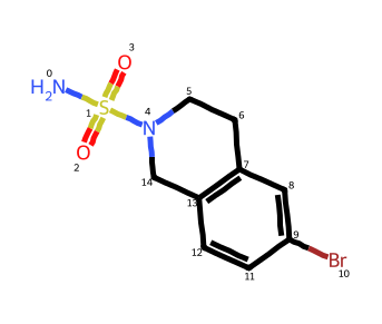 NS(=O)(=O)N1CCc2cc(Br)ccc2C1